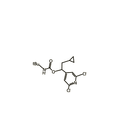 CC(C)(C)NC(=O)OC(CC1CC1)c1cc(Cl)nc(Cl)c1